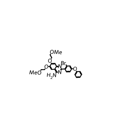 COCCOc1cc2nc(-c3ccc(Oc4ccccc4)cc3Br)nc(N)c2cc1OCCOC